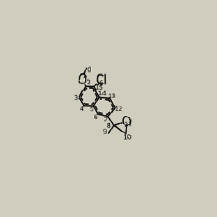 COc1ccc2cc(C3(C)CO3)ccc2c1Cl